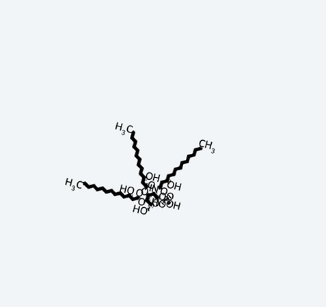 CCCCCCCCCCC[C@@H](O)CC(=O)N[C@H]1[C@@H](OP(=O)(O)O)O[C@H](CO)[C@@H](OC(=O)C[C@H](O)CCCCCCCCCCC)[C@@H]1OC(=O)C[C@H](O)CCCCCCCCCCC